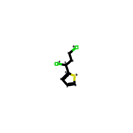 ClCCC(Cl)c1cccs1